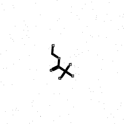 O=C(OCCl)C(Cl)(Cl)Cl